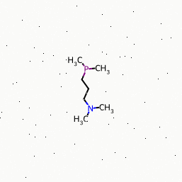 CN(C)CCCP(C)C